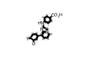 O=C(O)c1ccc(Nc2nc3c(-c4ccc(F)c(Cl)c4)cccn3n2)cc1